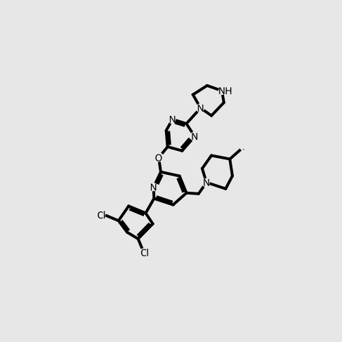 [CH2]C1CCN(Cc2cc(Oc3cnc(N4CCNCC4)nc3)nc(-c3cc(Cl)cc(Cl)c3)c2)CC1